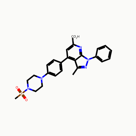 Cc1nn(-c2ccccc2)c2nc(C(=O)O)cc(-c3ccc(N4CCN(S(C)(=O)=O)CC4)cc3)c12